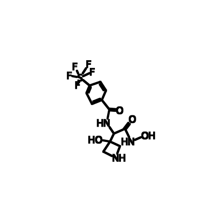 O=C(NC(C(=O)NO)C1(O)CNC1)c1ccc(S(F)(F)(F)(F)F)cc1